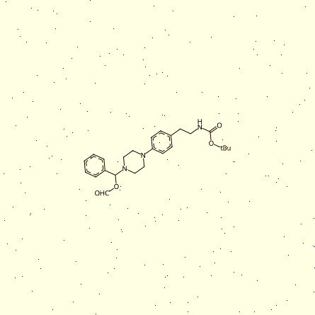 CC(C)(C)OC(=O)NCCc1ccc(N2CCN(C(OC=O)c3ccccc3)CC2)cc1